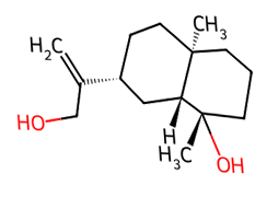 C=C(CO)[C@@H]1CC[C@@]2(C)CCC[C@](C)(O)[C@@H]2C1